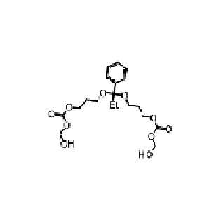 CCC(OCCCOC(=O)OCO)(OCCCOC(=O)OCO)c1ccccc1